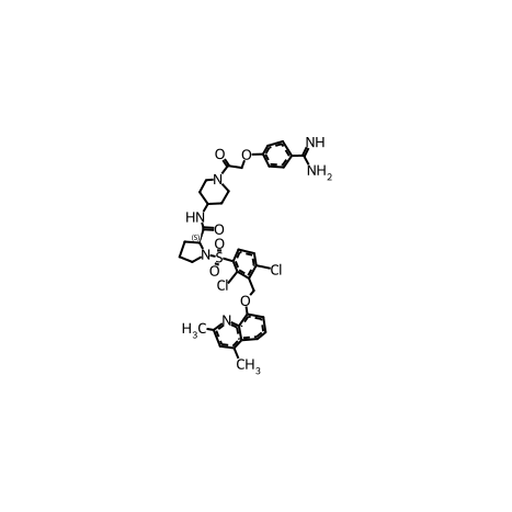 Cc1cc(C)c2cccc(OCc3c(Cl)ccc(S(=O)(=O)N4CCC[C@H]4C(=O)NC4CCN(C(=O)COc5ccc(C(=N)N)cc5)CC4)c3Cl)c2n1